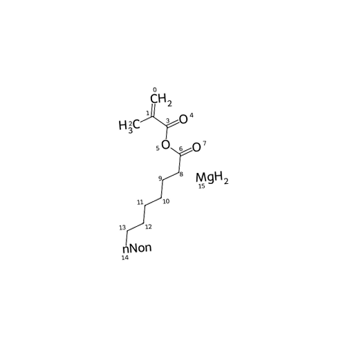 C=C(C)C(=O)OC(=O)CCCCCCCCCCCCCCC.[MgH2]